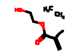 C.C.C=C(C)C(=O)OCCO